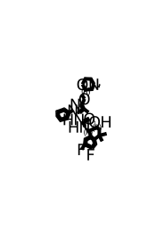 Cc1c(OC[C@H]2CN(C)CCO2)nn(-c2ccccc2)c1NC(=O)N[C@@H]1c2cc(F)c(F)cc2C(C)(C)C[C@H]1O